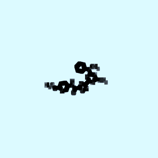 COc1ccc(NC(=O)c2nc(-c3nc(N)nc(N(C)c4ccccc4)n3)no2)cn1